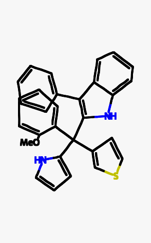 COc1ccccc1C(c1ccsc1)(c1ccc[nH]1)c1[nH]c2ccccc2c1-c1ccccc1